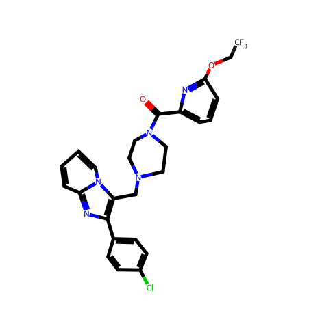 O=C(c1cccc(OCC(F)(F)F)n1)N1CCN(Cc2c(-c3ccc(Cl)cc3)nc3ccccn23)CC1